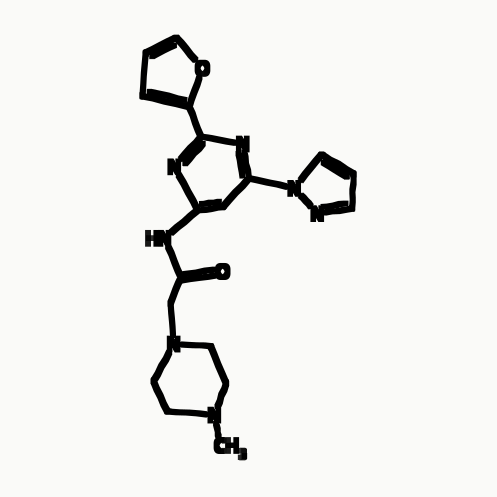 CN1CCN(CC(=O)Nc2cc(-n3cccn3)nc(-c3ccco3)n2)CC1